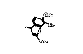 COc1cc(=O)c2ccc(OC)c(OC)c2o1